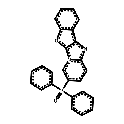 O=P(c1ccccc1)(c1ccccc1)c1ccc2nc3c4ccccc4oc3n2c1